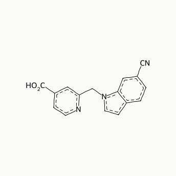 N#Cc1ccc2ccn(Cc3cc(C(=O)O)ccn3)c2c1